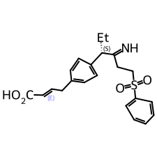 CC[C@H](C(=N)CCS(=O)(=O)c1ccccc1)c1ccc(C/C=C/C(=O)O)cc1